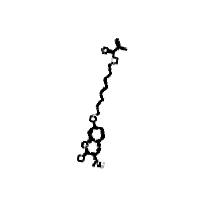 C=C(C)C(=O)OCCCCCCCCOc1ccc2cc(C(C)=O)c(=O)oc2c1